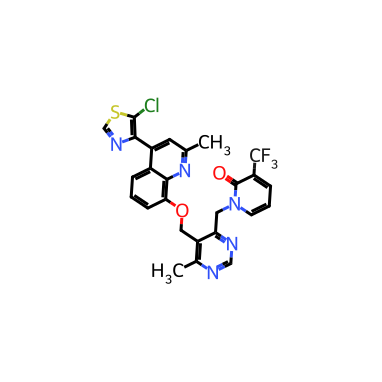 Cc1cc(-c2ncsc2Cl)c2cccc(OCc3c(C)ncnc3Cn3cccc(C(F)(F)F)c3=O)c2n1